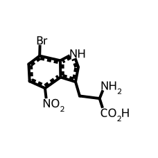 NC(Cc1c[nH]c2c(Br)ccc([N+](=O)[O-])c12)C(=O)O